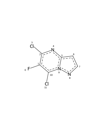 Fc1c(Cl)nc2ccnn2c1Cl